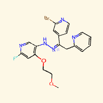 COCCOc1cc(F)ncc1N/N=C(/Cc1ccccn1)c1ccnc(Br)c1